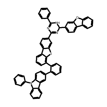 c1ccc(C2=NC(c3ccc4c(c3)sc3c(-c5ccccc5-c5ccc6c(c5)c5ccccc5n6-c5ccccc5)cccc34)=NC(c3ccc4c(c3)oc3ccccc34)N2)cc1